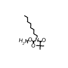 CCCCCCCCN(C(=O)ON)C(=O)C(C)(C)C